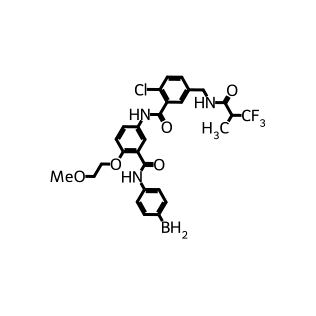 Bc1ccc(NC(=O)c2cc(NC(=O)c3cc(CNC(=O)C(C)C(F)(F)F)ccc3Cl)ccc2OCCOC)cc1